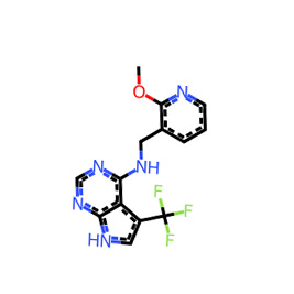 COc1ncccc1CNc1ncnc2[nH]cc(C(F)(F)F)c12